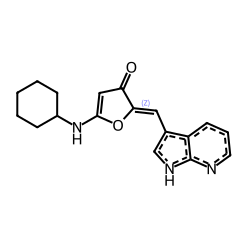 O=C1C=C(NC2CCCCC2)O/C1=C\c1c[nH]c2ncccc12